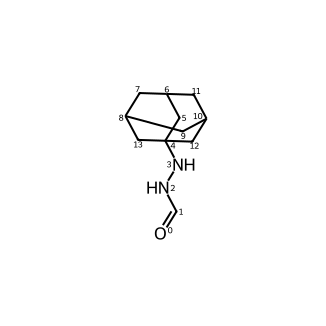 O=CNNC12CC3CC(CC(C3)C1)C2